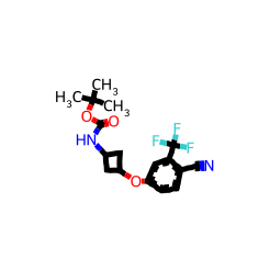 CC(C)(C)OC(=O)NC1CC(Oc2ccc(C#N)c(C(F)(F)F)c2)C1